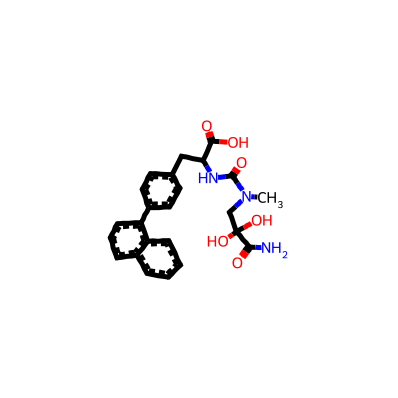 CN(CC(O)(O)C(N)=O)C(=O)NC(Cc1ccc(-c2cccc3ccccc23)cc1)C(=O)O